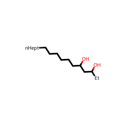 CCCCCCCCCCCCCC(O)CC(O)CC